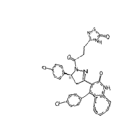 O=C(CCc1nsc(=O)[nH]1)N1N=C(c2c(-c3ccc(Cl)cc3)c3ccccc3[nH]c2=O)C[C@H]1c1ccc(Cl)cc1